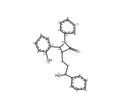 O=C1C(CCC(O)c2ccccc2)C(c2ccccc2O)N1c1ccccc1